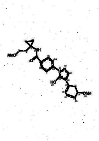 COCCC1(NC(=O)c2ccc(-n3ncc(C4=CC=NC(OC)C4)c3O)nc2)CC1